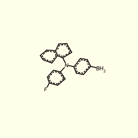 Bc1ccc(N(c2ccc(F)cc2)c2cccc3ccccc23)cc1